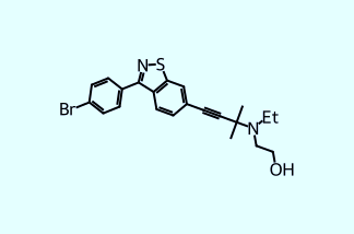 CCN(CCO)C(C)(C)C#Cc1ccc2c(-c3ccc(Br)cc3)nsc2c1